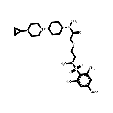 COc1cc(C)c(S(=O)(=O)N(C)CCOCC(=O)N(C)[C@H]2CC[C@@H](N3CCN(C4CC4)CC3)CC2)c(C)c1